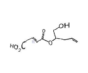 C=CCC(CO)OC(=O)/C=C/C(=O)O